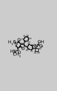 CNC(=O)c1cn(C)c(=O)c2c(-c3ccccc3)c(-c3ccc(C4(NC(=O)O)CCC4)cc3)oc12